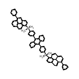 C[Si](C)(c1ccc(-c2c3ccccc3c(-c3ccc([Si](C)(C)c4ccc5cc(-c6ccccc6)c6cccc7ccc4c5c76)cc3)c3ccccc23)cc1)c1ccc2c3c1C=CC1=CC=C(c4ccccc4)C(=CC2)C13